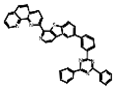 c1ccc(-c2nc(-c3ccccc3)nc(-c3cccc(-c4ccc5sc6c(-c7ccc8ccc9cccnc9c8n7)nccc6c5c4)c3)n2)cc1